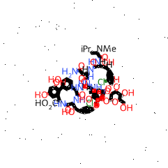 CNC(CC(C)C)C(=O)N[C@H]1C(=O)N[C@@H](CC(N)=O)C(=O)N[C@H]2C(=O)NC3C(=O)NC(C(=O)N[C@@H](C(=O)O)c4cc(O)cc(O)c4-c4cc3ccc4O)C(O)c3ccc(c(Cl)c3)Oc3cc2cc(c3O[C@@H]2OC(CO)[C@@H](O)C(O)C2O[C@H]2CC(C)(N)[C@H](O)C(C)O2)Oc2ccc(cc2Cl)[C@H]1O